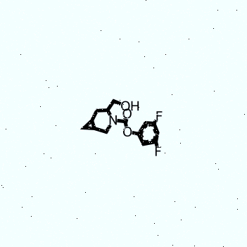 O=C(Oc1cc(F)cc(F)c1)N1CC2CC2CC1CO